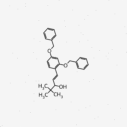 CC(C)(C)C(O)C=Cc1ccc(OCc2ccccc2)cc1OCc1ccccc1